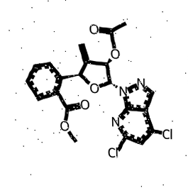 C=C1[C@H](c2ccccc2C(=O)OC)O[C@@H](n2ncc3c(Cl)cc(Cl)nc32)[C@@H]1OC(C)=O